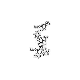 COc1cc(C(F)(F)F)ccc1COc1cccc(-c2cc(F)c(Cc3nc4c(OC)cc(C(=O)O)cc4n3CC3(CF)CC3)c3c2OCC3)n1